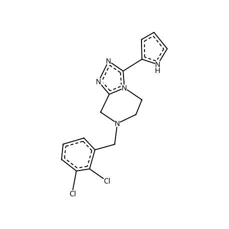 Clc1cccc(CN2CCn3c(nnc3-c3ccc[nH]3)C2)c1Cl